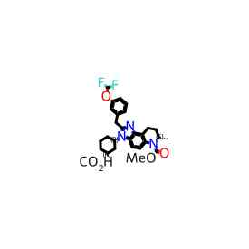 COC(=O)N1c2ccc3c(nc(Cc4cccc(OC(F)F)c4)n3[C@@H]3CCC[C@@H](C(=O)O)C3)c2CC[C@@H]1C